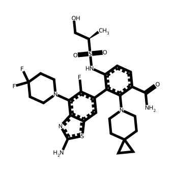 C[C@H](CO)S(=O)(=O)Nc1ccc(C(N)=O)c(N2CCC3(CC2)CC3)c1-c1cc2sc(N)nc2c(N2CCC(F)(F)CC2)c1F